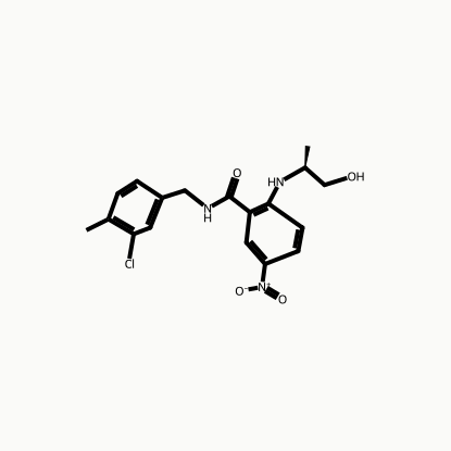 Cc1ccc(CNC(=O)c2cc([N+](=O)[O-])ccc2N[C@@H](C)CO)cc1Cl